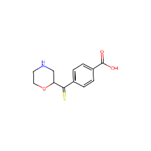 O=C(O)c1ccc(C(=S)C2CNCCO2)cc1